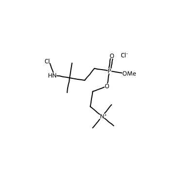 COP(=O)(CCC(C)(C)NCl)OCC[N+](C)(C)C.[Cl-]